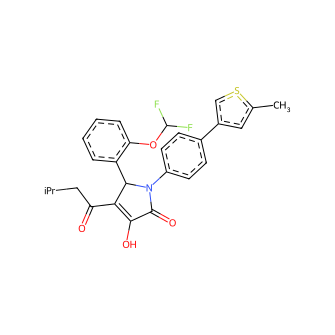 Cc1cc(-c2ccc(N3C(=O)C(O)=C(C(=O)CC(C)C)C3c3ccccc3OC(F)F)cc2)cs1